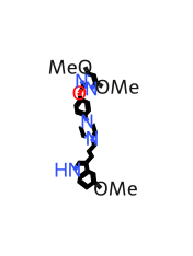 COc1ccc2[nH]cc(CCCN3CCN(c4ccc(Oc5nc(OC)cc(OC)n5)cc4)CC3)c2c1